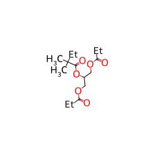 CCC(=O)OCC(COC(=O)CC)OC(=O)C(C)(C)CC